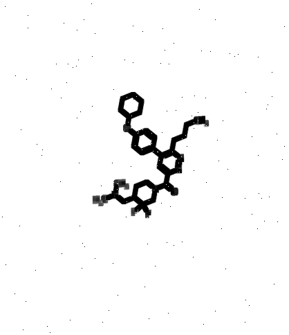 CCCCc1nnc(C(=O)N2CCC(CN(C)C)C(F)(F)C2)cc1-c1ccc(OC2CCCCC2)cc1